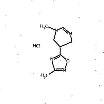 Cc1noc(C2CN=CN(C)C2)n1.Cl